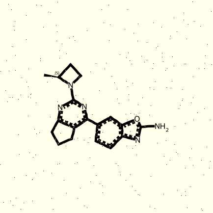 C[C@H]1CCN1c1nc2c(c(-c3ccc4nc(N)oc4c3)n1)CCC2